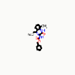 CC(=O)OCC1=N[C@H](NC(=O)OCc2ccccc2)C(=O)Nc2c(C)cccc21